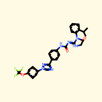 CC(C)c1ccccc1N1C(=O)CN/C1=N\C(=O)Nc1ccc(-c2ncn(-c3ccc(OC(F)(F)F)cc3)n2)cc1